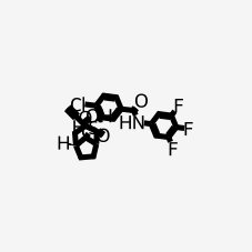 C#C[C@@]1(O)CC2CC[C@@H](C1)[C@H]2S(=O)(=O)c1cc(C(=O)Nc2cc(F)c(F)c(F)c2)ccc1Cl